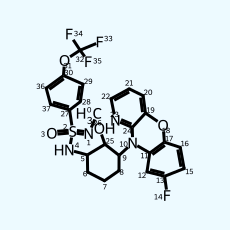 CN=S(=O)(NC1CCCC(N2c3cc(F)ccc3Oc3cccnc32)C1O)c1ccc(OC(F)(F)F)cc1